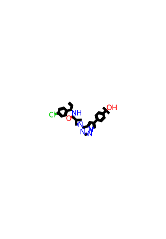 C=C[C@H](NC(=O)C1CN(c2ncnn3cc(-c4ccc(C(C)(C)O)cc4)cc23)C1)c1ccc(Cl)cc1